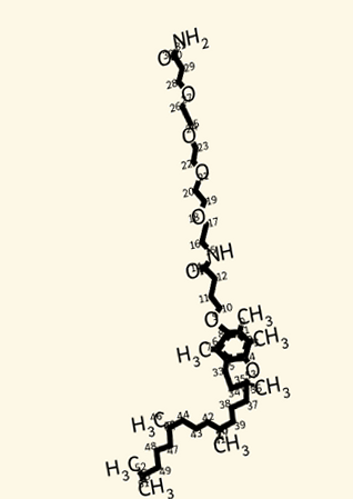 Cc1c(C)c2c(c(C)c1OCCCC(=O)NCCOCCOCCOCCOCCC(N)=O)CC[C@@](C)(CCC[C@H](C)CCC[C@H](C)CCCC(C)C)O2